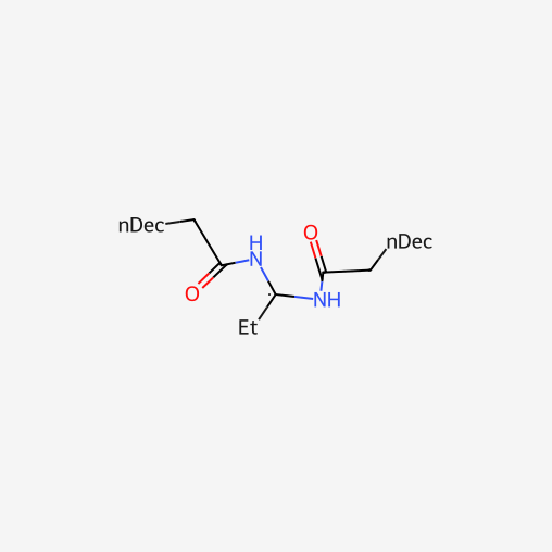 CCCCCCCCCCCC(=O)N[C](CC)NC(=O)CCCCCCCCCCC